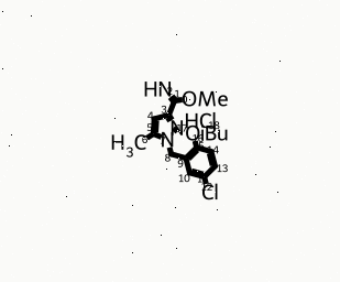 COC(=N)c1cc(C)n(Cc2cc(Cl)ccc2OCC(C)C)n1.Cl